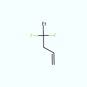 [CH2]CC(F)(F)CC=C